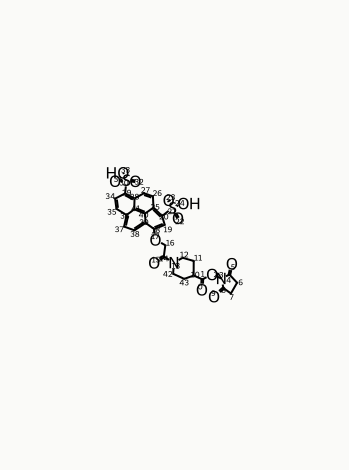 O=C(ON1C(=O)CCC1=O)C1CCN(C(=O)COc2cc(S(=O)(=O)O)c3ccc4c(S(=O)(=O)O)ccc5ccc2c3c54)CC1